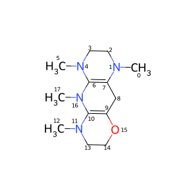 CN1CCN(C)C2=C1CC1=C(N(C)CCO1)N2C